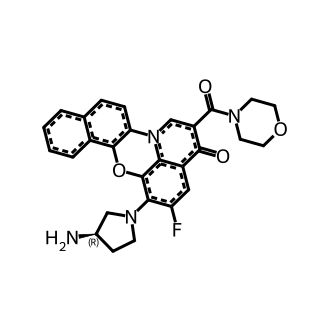 N[C@@H]1CCN(c2c(F)cc3c(=O)c(C(=O)N4CCOCC4)cn4c3c2Oc2c-4ccc3ccccc23)C1